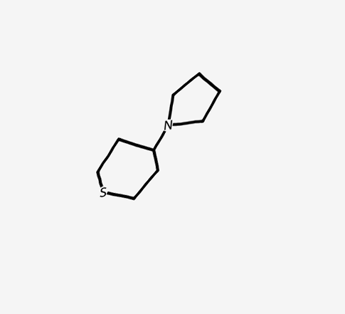 C1CCN(C2CCSCC2)C1